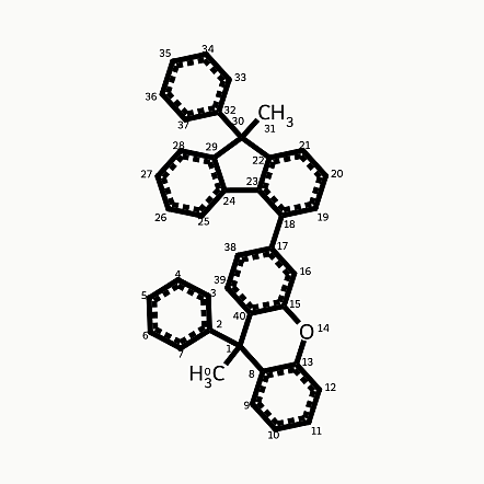 CC1(c2ccccc2)c2ccccc2Oc2cc(-c3cccc4c3-c3ccccc3C4(C)c3ccccc3)ccc21